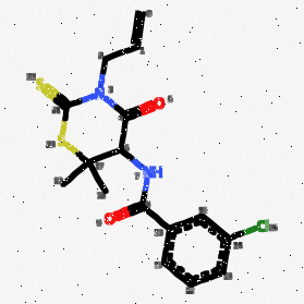 C=CCN1C(=O)C(NC(=O)c2cccc(Cl)c2)C(C)(C)SC1=S